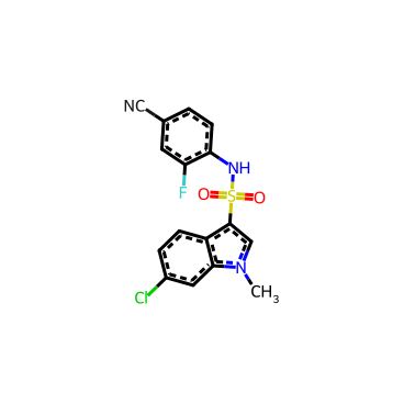 Cn1cc(S(=O)(=O)Nc2ccc(C#N)cc2F)c2ccc(Cl)cc21